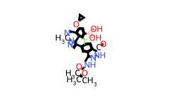 Cn1ncc(-c2ccc3c(c2)C(CNC(=O)OC(C)(C)C)=NNC3=C=O)c1-c1c(F)c(B(O)O)cc(OC2CC2)c1C#N